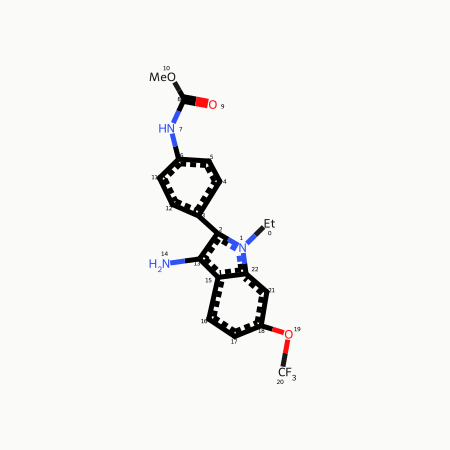 CCn1c(-c2ccc(NC(=O)OC)cc2)c(N)c2ccc(OC(F)(F)F)cc21